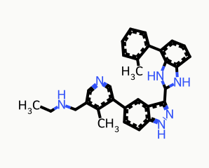 CCNCc1cncc(-c2ccc3[nH]nc(C4Nc5cccc(-c6ccccc6C)c5N4)c3c2)c1C